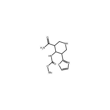 CC(C)(C)OC(=O)NC1C(C(N)=O)CNCC1c1nccs1